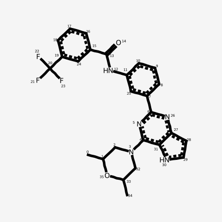 CC1CN(c2nc(-c3cccc(NC(=O)c4cccc(C(F)(F)F)c4)c3)nc3cc[nH]c23)CC(C)O1